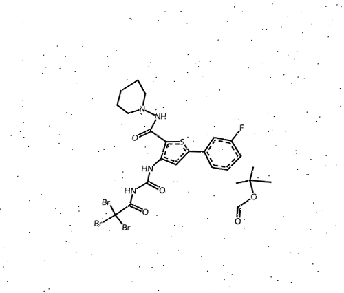 CC(C)(C)OC=O.O=C(NC(=O)C(Br)(Br)Br)Nc1cc(-c2cccc(F)c2)sc1C(=O)NN1CCCCC1